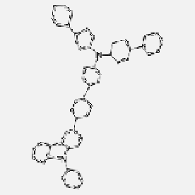 C1=CC(N(c2ccc(-c3ccccc3)cc2)c2ccc(-c3ccc(-c4ccc5c(c4)c4ccccc4n5-c4ccccc4)cc3)cc2)CC=C1c1ccccc1